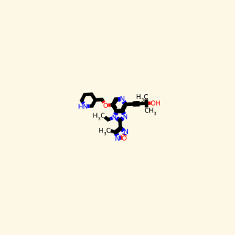 CCn1c(-c2nonc2C)nc2c(C#CC(C)(C)O)ncc(OCC3CCCNC3)c21